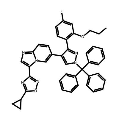 CCCOc1cc(F)ccc1-c1nn(C(c2ccccc2)(c2ccccc2)c2ccccc2)cc1-c1ccc2ncc(-c3noc(C4CC4)n3)n2c1